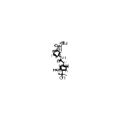 CC(C)(C)NC(=O)c1cc(NC(=O)Cc2cc(O)c(C(C)(C)O)cc2F)ccn1